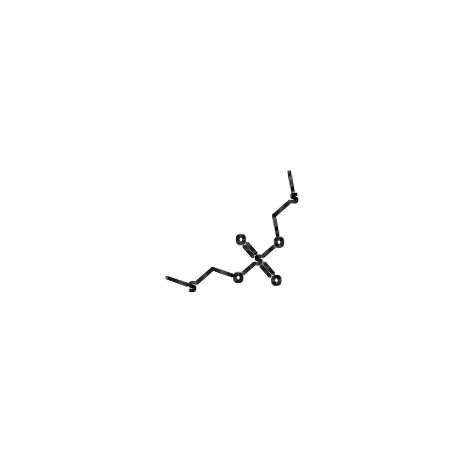 CSCOS(=O)(=O)OCSC